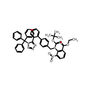 CCOC(=O)c1cccc([N+](=O)[O-])c1N(Cc1ccc(-c2ccccc2-c2nnnn2C(c2ccccc2)(c2ccccc2)c2ccccc2)cc1)C(=O)OC(C)(C)C